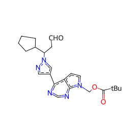 CC(C)(C)C(=O)OCn1ccc2c(-c3cnn(C(CC=O)C4CCCC4)c3)ncnc21